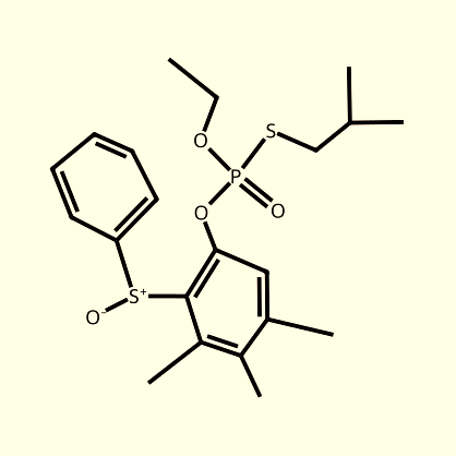 CCOP(=O)(Oc1cc(C)c(C)c(C)c1[S+]([O-])c1ccccc1)SCC(C)C